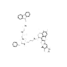 CC[C@@]1(O)C(=O)OCc2c1cc1n(c2=O)Cc2c-1nc1cc(F)c(C)c3c1c2[C@@H](NC(=O)CCCNC(=O)[C@H](Cc1ccccc1)NC(=O)CNC(=O)CNC(=O)OCC1c2ccccc2-c2ccccc21)CC3